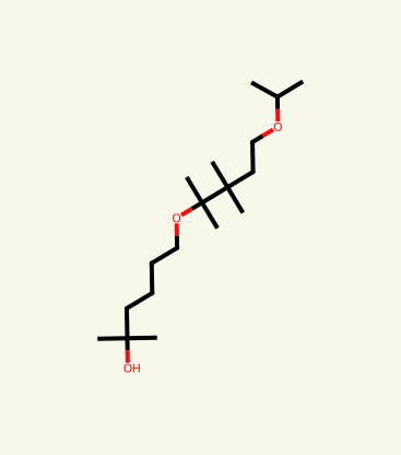 CC(C)OCCC(C)(C)C(C)(C)OCCCCC(C)(C)O